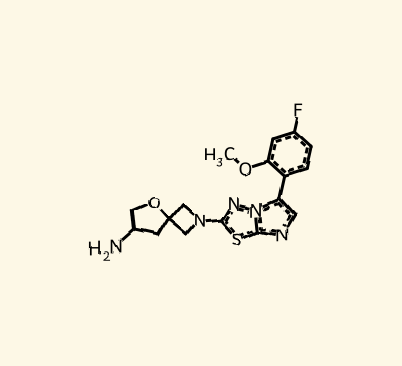 COc1cc(F)ccc1-c1cnc2sc(N3CC4(CC(N)CO4)C3)nn12